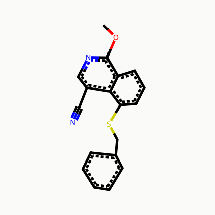 COc1ncc(C#N)c2c(SCc3ccccc3)cccc12